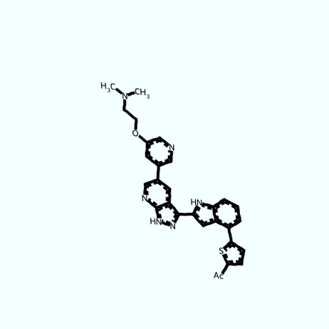 CC(=O)c1ccc(-c2cccc3[nH]c(-c4n[nH]c5ncc(-c6cncc(OCCN(C)C)c6)cc45)cc23)s1